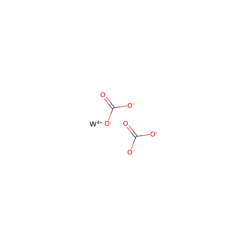 O=C([O-])[O-].O=C([O-])[O-].[W+4]